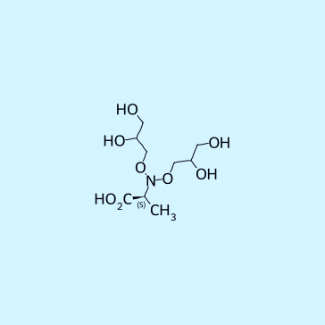 C[C@@H](C(=O)O)N(OCC(O)CO)OCC(O)CO